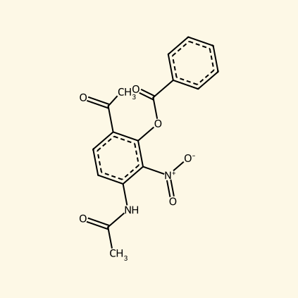 CC(=O)Nc1ccc(C(C)=O)c(OC(=O)c2ccccc2)c1[N+](=O)[O-]